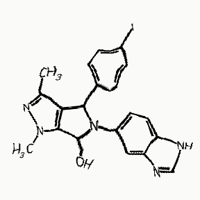 Cc1nn(C)c2c1C(c1ccc(I)cc1)N(c1ccc3[nH]cnc3c1)C2O